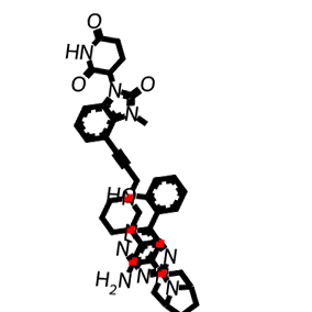 Cn1c(=O)n(C2CCC(=O)NC2=O)c2cccc(C#CCN3CCCC(c4cnc(N5C6CCC5CN(c5cc(-c7ccccc7O)nnc5N)C6)nc4)C3)c21